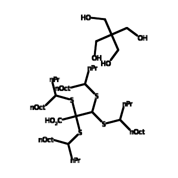 CCCCCCCCC(CCC)SC(SC(CCC)CCCCCCCC)C(SC(CCC)CCCCCCCC)(SC(CCC)CCCCCCCC)C(=O)O.OCC(CO)(CO)CO